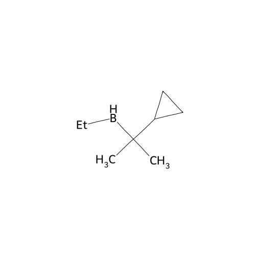 CCBC(C)(C)C1CC1